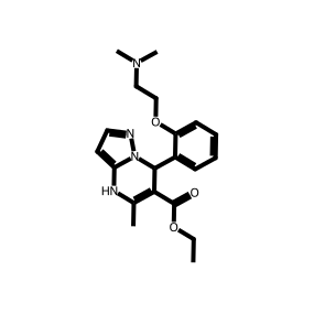 CCOC(=O)C1=C(C)Nc2ccnn2C1c1ccccc1OCCN(C)C